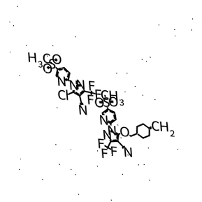 C=C1CCC(COc2c(C#N)c(C(F)(F)F)nn2-c2ccc(S(C)(=O)=O)cn2)CC1.CS(=O)(=O)c1ccc(-n2nc(C(F)(F)F)c(C#N)c2Cl)nc1